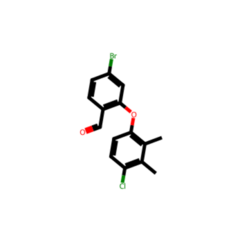 Cc1c(Cl)ccc(Oc2cc(Br)ccc2C=O)c1C